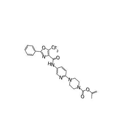 C=C(C)OC(=O)N1CCN(c2ccc(NC(=O)c3nc(-c4ccccc4)oc3C(F)(F)F)cn2)CC1